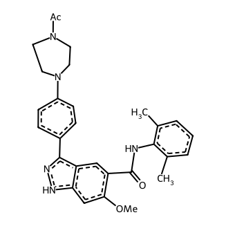 COc1cc2[nH]nc(-c3ccc(N4CCN(C(C)=O)CC4)cc3)c2cc1C(=O)Nc1c(C)cccc1C